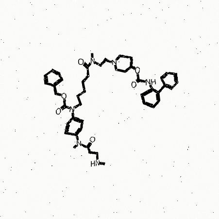 CNCCC(=O)N(C)c1ccc(N(CCCCCC(=O)N(C)CCN2CCC(OC(=O)Nc3ccccc3-c3ccccc3)CC2)C(=O)OCc2ccccc2)cc1